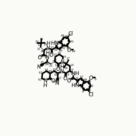 COc1cc(Cl)cc2[nH]c(C(=O)NC(CC(C)(C)N3CCC[C@@H](C[C@@H](C#N)NC(=O)[C@H](CC(C)(C)C)NC(=O)c4cc5c(OC)cc(Cl)cc5[nH]4)C3=O)C(=O)NC(C#N)CC3CCCNC3=O)cc12